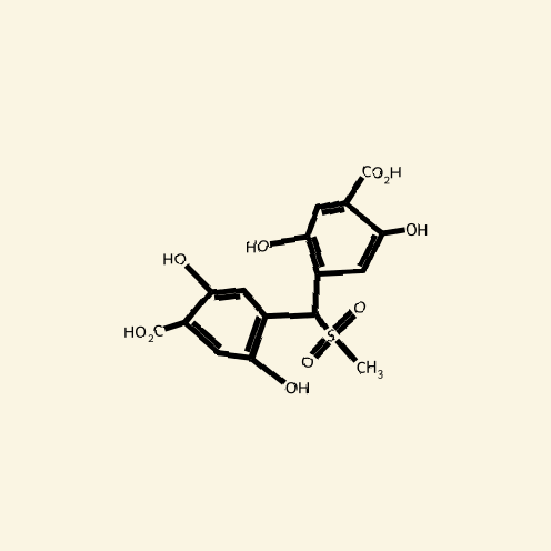 CS(=O)(=O)C(c1cc(O)c(C(=O)O)cc1O)c1cc(O)c(C(=O)O)cc1O